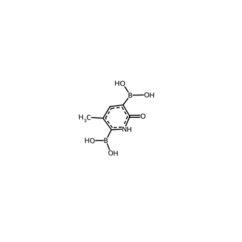 Cc1cc(B(O)O)c(=O)[nH]c1B(O)O